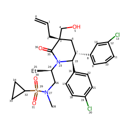 C=CC[C@@]1(CO)C[C@H](c2cccc(Cl)c2)[C@@H](c2ccc(Cl)cc2)N([C@H](CC)CN(C)S(=O)(=O)C2CC2)C1=O